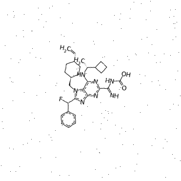 C=C[C@H]1CC[C@H](Cn2c(C(F)c3ccccc3)nc3nc(C(=N)NC(=O)O)nc(N[C@H](C)C4CCC4)c32)CC1